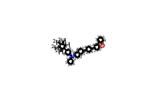 [2H]c1c([2H])c([2H])c(-c2ccc(N(c3ccccc3)c3ccc4cc(-c5ccc(-c6ccc7oc8ccccc8c7c6)cc5)ccc4c3)cc2)c([2H])c1[2H]